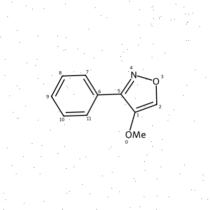 COc1conc1-c1ccccc1